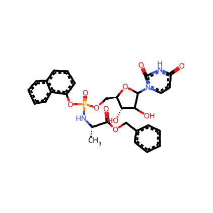 C[C@H](NP(=O)(OC[C@H]1OC(n2ccc(=O)[nH]c2=O)C(O)[C@@H]1O)Oc1cccc2ccccc12)C(=O)OCc1ccccc1